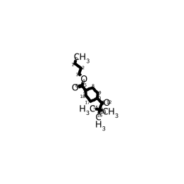 CCCCOC(=O)C1CCC(C(=O)C(C)(C)C)CC1